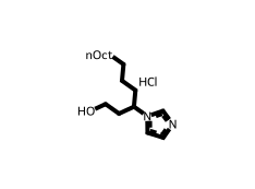 CCCCCCCCCCCC(CCO)n1ccnc1.Cl